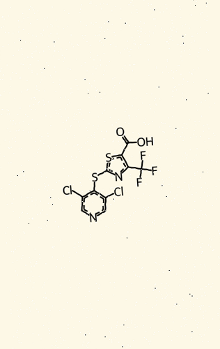 O=C(O)c1sc(Sc2c(Cl)cncc2Cl)nc1C(F)(F)F